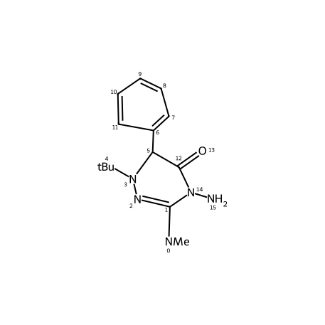 CNC1=NN(C(C)(C)C)C(c2ccccc2)C(=O)N1N